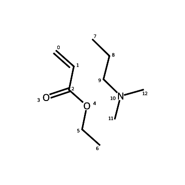 C=CC(=O)OCC.CCCN(C)C